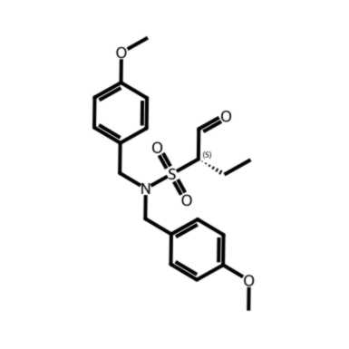 CC[C@@H](C=O)S(=O)(=O)N(Cc1ccc(OC)cc1)Cc1ccc(OC)cc1